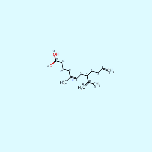 C=CCCC(C/C=C(/C)CCCC(=O)O)C(=C)C